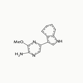 COc1nc(-c2c[nH]c3ccccc23)cnc1N